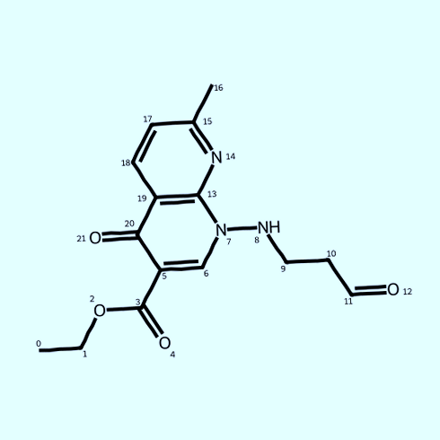 CCOC(=O)c1cn(NCCC=O)c2nc(C)ccc2c1=O